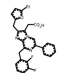 CCc1ccc(Cc2nc3c(Cc4cccc(F)c4F)nc(-c4ccccc4)cn3c2CC(=O)O)o1